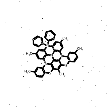 Cc1ccc2c(c1)B1c3cc(C)cc4c3N3c5c(cc(C)cc5[Si]4(c4ccccc4)c4ccccc4)B4c5cc(C)ccc5Sc5c(C)c(c1c3c54)S2